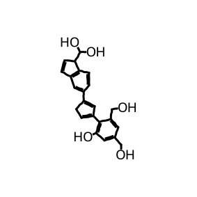 OCc1cc(O)c(C2=CCC(c3ccc4c(c3)C=CC4C(O)O)=C2)c(CO)c1